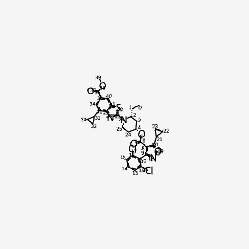 CC[C@@H]1C[C@H](OC(=O)c2c(-c3c(Cl)cccc3Cl)noc2C2CC2)CCN1c1nc2c(C3CC3)cc(C(=O)OC)cc2s1